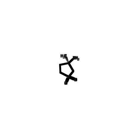 C[C@@]1(N)CCS(=O)(=O)C1